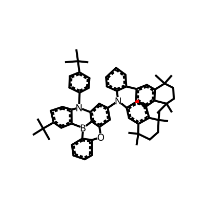 CC(C)(C)c1ccc(N2c3ccc(C(C)(C)C)cc3B3c4ccccc4Oc4cc(N(c5ccc6c(c5)C(C)(C)CCC6(C)C)c5ccccc5-c5ccc6c(c5)C(C)(C)CCC6(C)C)cc2c43)cc1